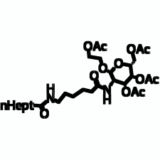 CCCCCCCC(=O)NCCCCCC(=O)N[C@H]1[C@@H](OCCOC(C)=O)O[C@H](COC(C)=O)[C@@H](OC(C)=O)[C@@H]1OC(C)=O